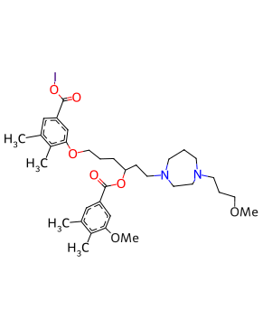 COCCCN1CCCN(CCC(CCCOc2cc(C(=O)OI)cc(C)c2C)OC(=O)c2cc(C)c(C)c(OC)c2)CC1